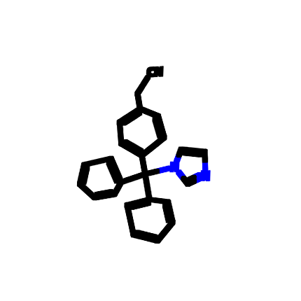 N#CCc1ccc(C(c2ccccc2)(c2ccccc2)n2ccnc2)cc1